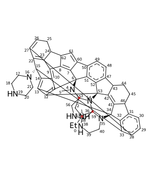 CCNCCN(C)[C@]12C3=C4C5=C6C1=C1C7=C6[C@@]6(N8CCNCC8)C8=C5C5CC=C8c8ccc9c(c86)[C@@]7(N6CCNCC6)C6=C7C(CCC69)c6ccc(c2c6[C@@]17N1CCNCC1)C3=CC45